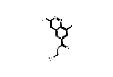 CCOC(=O)c1cc(F)c2nnc(C)cc2c1